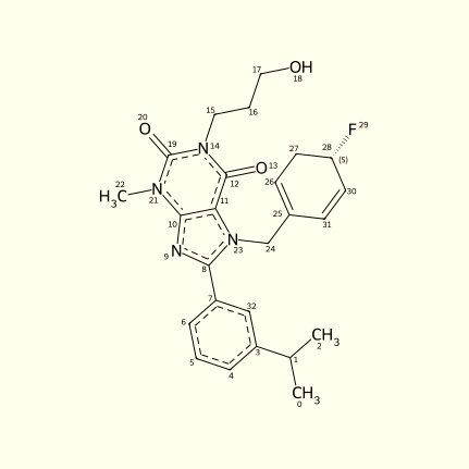 CC(C)c1cccc(-c2nc3c(c(=O)n(CCCO)c(=O)n3C)n2CC2=CC[C@H](F)C=C2)c1